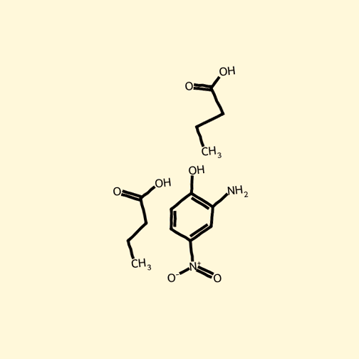 CCCC(=O)O.CCCC(=O)O.Nc1cc([N+](=O)[O-])ccc1O